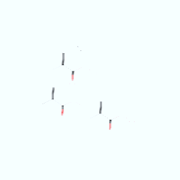 C=C(C)C(=O)O[O-].C=C(C)C(=O)O[O-].C=C(C)C(=O)O[O-].[Al+3]